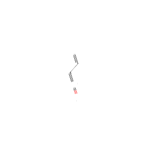 C=C[C]=C=O